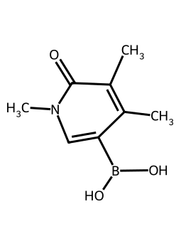 Cc1c(B(O)O)cn(C)c(=O)c1C